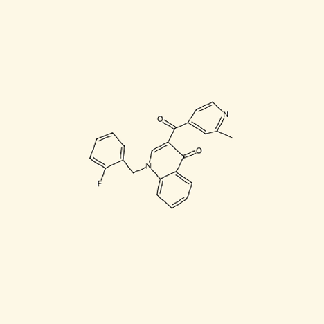 Cc1cc(C(=O)c2cn(Cc3ccccc3F)c3ccccc3c2=O)ccn1